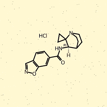 Cl.O=C(N[C@@H]1C2CCN(CC2)C12CC2)c1ccc2cnoc2c1